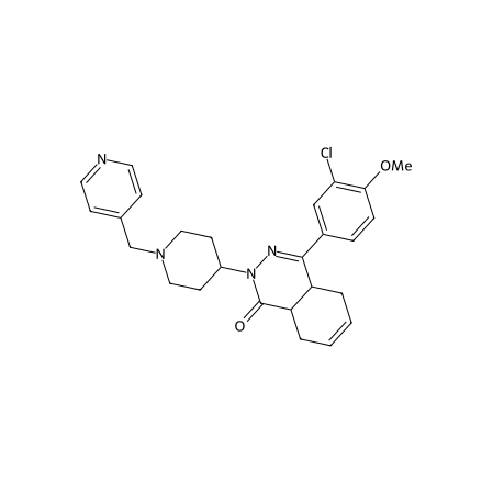 COc1ccc(C2=NN(C3CCN(Cc4ccncc4)CC3)C(=O)C3CC=CCC23)cc1Cl